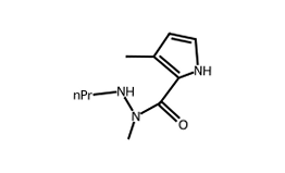 CCCNN(C)C(=O)c1[nH]ccc1C